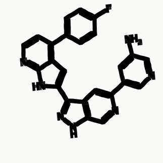 Nc1cncc(-c2cc3c(-c4cc5c(-c6ccc(F)cc6)ccnc5[nH]4)n[nH]c3cn2)c1